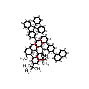 CC1C=Cc2cccc(-c3ccccc3N(c3ccc(-c4ccc5c(c4)C(c4ccccc4)(c4ccccc4)c4ccccc4-5)cc3)c3cc(-c4cccc5ccccc45)ccc3-c3ccccc3)c2C1c1cc(C(C)(C)C)cc(C(C)(C)C)c1